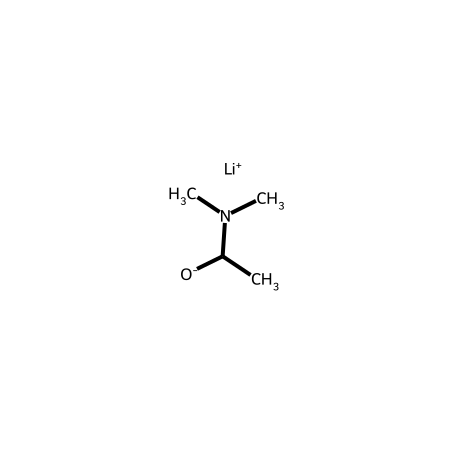 CC([O-])N(C)C.[Li+]